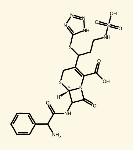 NC(C(=O)NC1C(=O)N2C(C(=O)O)=C(C(CCNS(=O)(=O)O)Sc3nnn[nH]3)CS[C@@H]12)c1ccccc1